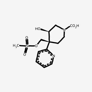 CS(=O)(=O)OC[C@]1(c2ccccn2)CCN(C(=O)O)C[C@@H]1O